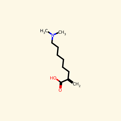 C=C(CCCCCCN(C)C)C(=O)O